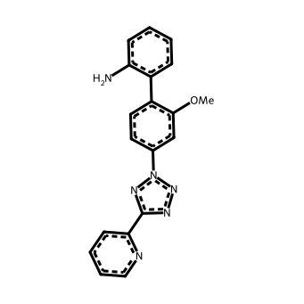 COc1cc(-n2nnc(-c3ccccn3)n2)ccc1-c1ccccc1N